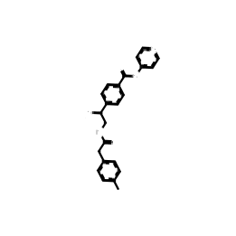 Cc1ccc(CC(=O)NCC(N)c2ccc(C(=O)Nc3ccncc3)cc2)cc1